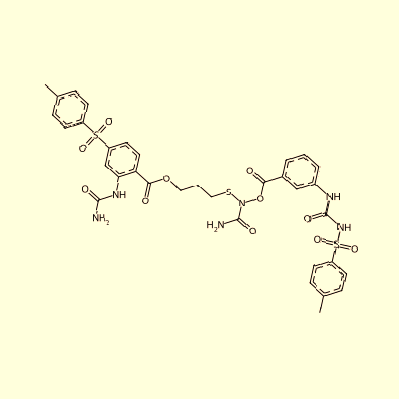 Cc1ccc(S(=O)(=O)NC(=O)Nc2cccc(C(=O)ON(SCCCOC(=O)c3ccc(S(=O)(=O)c4ccc(C)cc4)cc3NC(N)=O)C(N)=O)c2)cc1